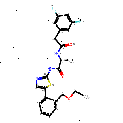 CCOCc1ccccc1-c1cnc(NC(=O)[C@H](C)NC(=O)Cc2cc(F)cc(F)c2)s1